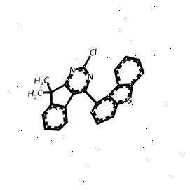 CC1(C)c2ccccc2-c2c(-c3cccc4sc5ccccc5c34)nc(Cl)nc21